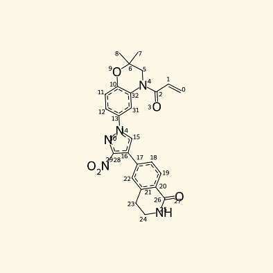 C=CC(=O)N1CC(C)(C)Oc2ccc(-n3cc(-c4ccc5c(c4)CCNC5=O)c([N+](=O)[O-])n3)cc21